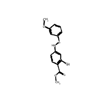 COC(=O)c1ccc(NSc2cccc(OC)c2)cc1O